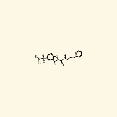 CCN(CC)S(=O)(=O)c1ccc2c(c1)C(C)C(C(=O)NCCCc1ccccc1)O2